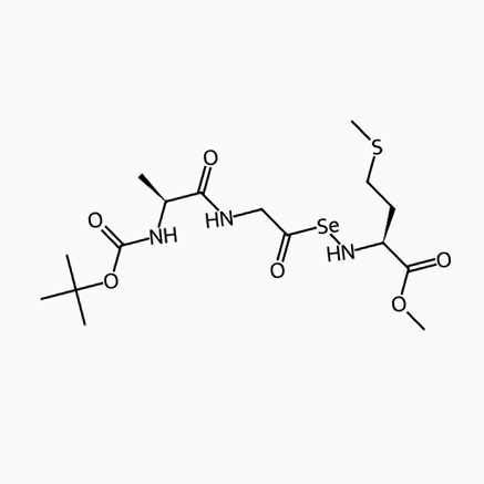 COC(=O)[C@H](CCSC)N[Se]C(=O)CNC(=O)[C@H](C)NC(=O)OC(C)(C)C